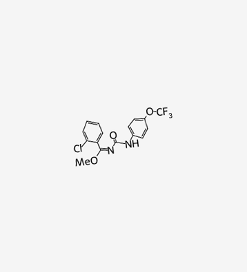 COC(=NC(=O)Nc1ccc(OC(F)(F)F)cc1)c1ccccc1Cl